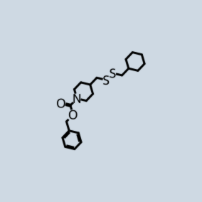 O=C(OCc1ccccc1)N1CCC(CSSCC2CCCCC2)CC1